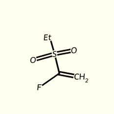 C=C(F)S(=O)(=O)CC